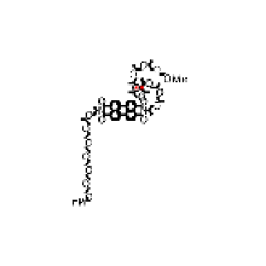 CCCOCCOCCOCCOCCOCCOCC(C)OCC(C)N1C(=O)c2ccc3c4ccc5c6c(ccc(c7ccc(c2c37)C1=O)c64)C(=O)N(C(C)COC(C)COC(C)COC(C)COC(C)COC(C)COC(C)COC(C)COC(C)COCCOC)C5=O